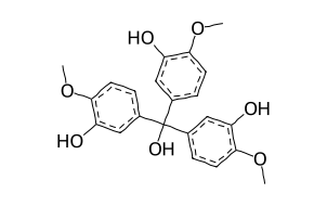 COc1ccc(C(O)(c2ccc(OC)c(O)c2)c2ccc(OC)c(O)c2)cc1O